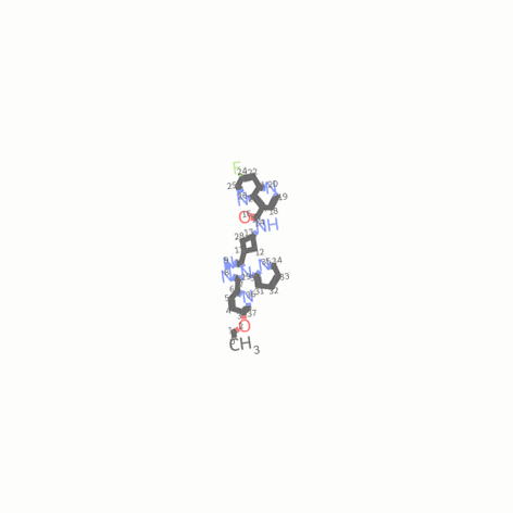 CCOc1ccc(-c2nnc(C3CC(NC(=O)c4ccnc5cc(F)cnc45)C3)n2-c2ccccn2)nc1